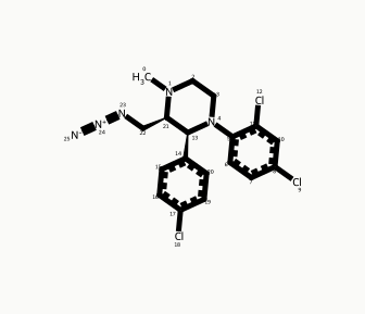 CN1CCN(c2ccc(Cl)cc2Cl)[C@@H](c2ccc(Cl)cc2)[C@H]1CN=[N+]=[N-]